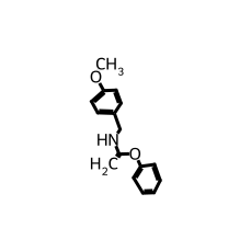 C=C(NCc1ccc(OC)cc1)Oc1ccccc1